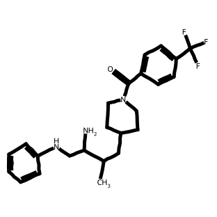 CC(CC1CCN(C(=O)c2ccc(C(F)(F)F)cc2)CC1)C(N)CNc1ccccc1